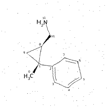 C[C@@]1(c2ccccc2)C[C@H]1CN